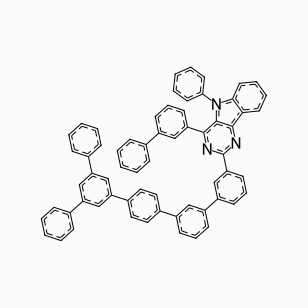 c1ccc(-c2cc(-c3ccccc3)cc(-c3ccc(-c4cccc(-c5cccc(-c6nc(-c7cccc(-c8ccccc8)c7)c7c(n6)c6ccccc6n7-c6ccccc6)c5)c4)cc3)c2)cc1